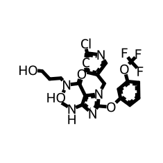 CNc1nc(Oc2cccc(OC(F)(F)F)c2)n(Cc2ccc(Cl)nc2)c1C(=O)N(O)CCCO